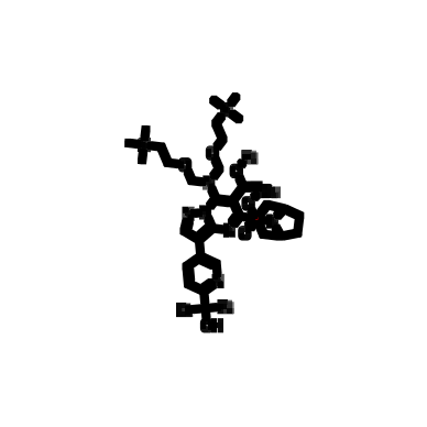 C=C(OCC)c1c(C2CC3CCC(C2)N3C(=O)OC(C)(C)C)nc2c(-c3ccc(C(O)(CC)CC)nc3)cnn2c1N(COCC[Si](C)(C)C)COCC[Si](C)(C)C